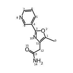 Cc1oc(-c2cccnc2)nc1CC(N)=O